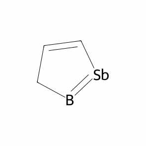 [B]1=[Sb][CH]=CC1